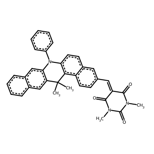 CN1C(=O)C(=Cc2ccc3c4c(ccc3c2)N(c2ccccc2)c2cc3ccccc3cc2C4(C)C)C(=O)N(C)C1=O